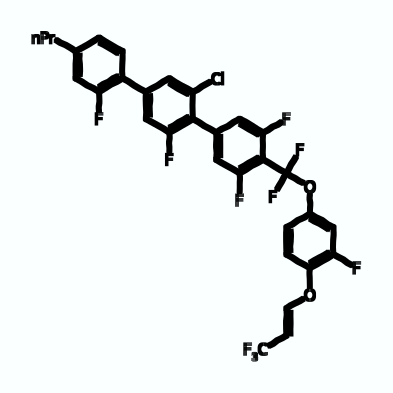 CCCc1ccc(-c2cc(F)c(-c3cc(F)c(C(F)(F)Oc4ccc(O/C=C/C(F)(F)F)c(F)c4)c(F)c3)c(Cl)c2)c(F)c1